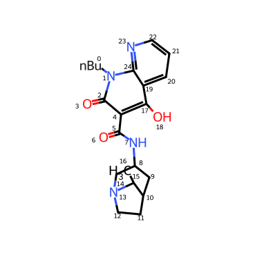 CCCCn1c(=O)c(C(=O)NC2CC3CCN(C2)C3C)c(O)c2cccnc21